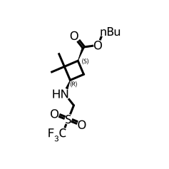 CCCCOC(=O)[C@H]1C[C@@H](NCS(=O)(=O)C(F)(F)F)C1(C)C